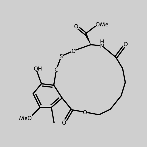 COC(=O)[C@@H]1CSCc2c(O)cc(OC)c(C)c2C(=O)OCCCCCC(=O)N1